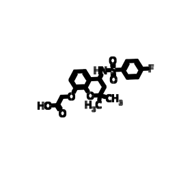 CC1(C)CC(NS(=O)(=O)c2ccc(F)cc2)c2cccc(OCC(=O)O)c2O1